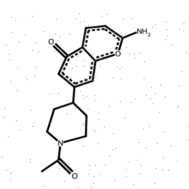 CC(=O)N1CCC(c2cc3oc(N)ccc-3c(=O)c2)CC1